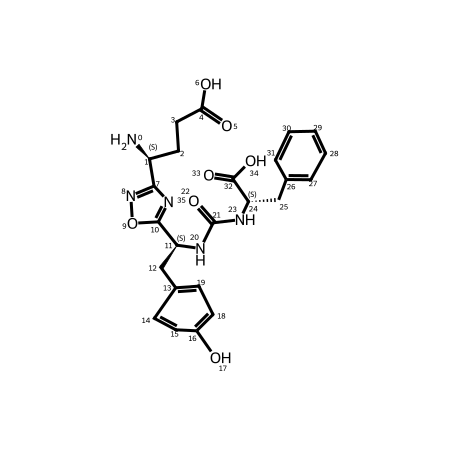 N[C@@H](CCC(=O)O)c1noc([C@H](Cc2ccc(O)cc2)NC(=O)N[C@@H](Cc2ccccc2)C(=O)O)n1